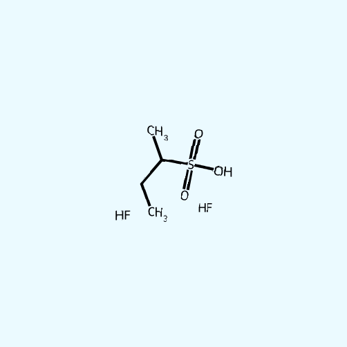 CCC(C)S(=O)(=O)O.F.F